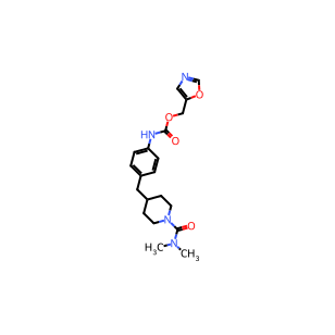 CN(C)C(=O)N1CCC(Cc2ccc(NC(=O)OCc3cnco3)cc2)CC1